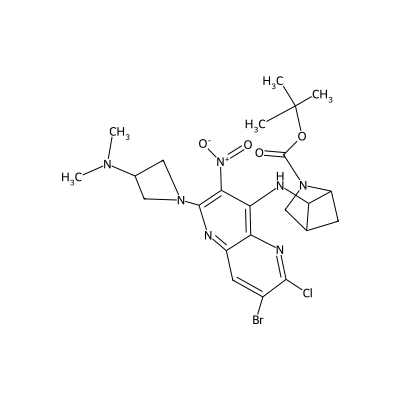 CN(C)C1CN(c2nc3cc(Br)c(Cl)nc3c(NC3C4CC3N(C(=O)OC(C)(C)C)C4)c2[N+](=O)[O-])C1